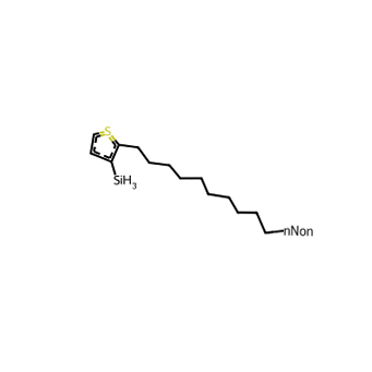 CCCCCCCCCCCCCCCCCCCc1sccc1[SiH3]